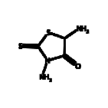 NC1SC(=S)N(N)C1=O